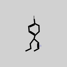 C/C=C\C(CCC)C1=CC=C(I)CC1